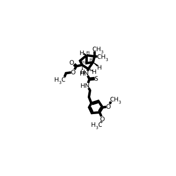 CCOC(=O)[C@H]1C[C@H]2C[C@@H]([C@H]1NC(=S)NCCc1ccc(OC)c(OC)c1)C2(C)C